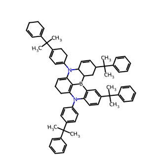 CC(C)(C1=CCCC=C1)C1=CC=C(N2C3=CCCC4=C3B(c3cc(C(C)(C)c5ccccc5)ccc3N4c3ccc(C(C)(C)c4ccccc4)cc3)C3CC(C(C)(C)c4ccccc4)C=CC32)CC1